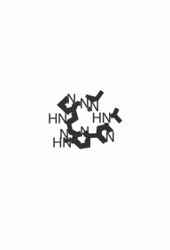 Cc1cn(-c2nccc3[nH]c(-c4n[nH]c5ccc(-c6cncc(NC(C)C)c6)nc45)cc23)cn1